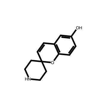 Oc1ccc2c(c1)C=CC1(CCNCC1)O2